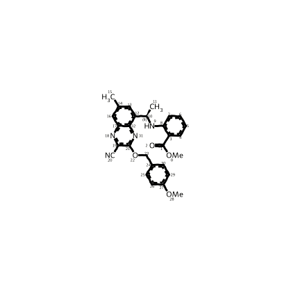 COC(=O)c1ccccc1N[C@H](C)c1cc(C)cc2nc(C#N)c(OCc3ccc(OC)cc3)nc12